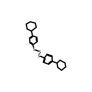 c1cc(C2CCCCC2)ccc1SSSc1ccc(C2CCCCC2)cc1